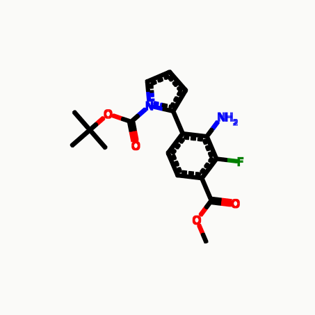 COC(=O)c1ccc(-c2cccn2C(=O)OC(C)(C)C)c(N)c1F